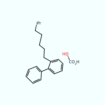 CC(C)CCCCCc1ccccc1-c1ccccc1.O=C(O)O